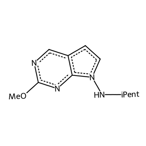 CCCC(C)Nn1ccc2cnc(OC)nc21